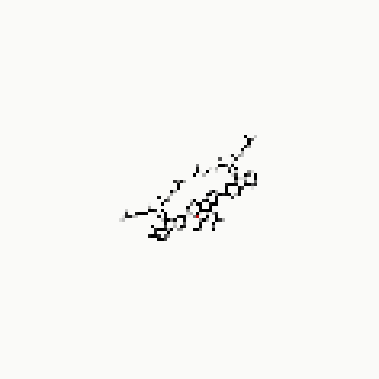 CC[C@H](C)CC1(C[C@@H](C)CC)c2cc(-c3ccc4c(c3)C(CC[C@@H](C)CCCC(C)C)(CC[C@@H](C)CCCC(C)C)c3ccccc3-4)ccc2-c2ccc(-c3ccc4c(c3)C(CC[C@@H](C)CCCC(C)C)(CC[C@@H](C)CCCC(C)C)c3c-4ccc(I)c3I)cc21